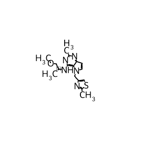 COC[C@H](C)Nc1nc(C)nc2ccn(Cc3csc(C)n3)c12